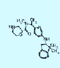 CN(C(=O)[C@H]1CNCCO1)C(c1ccc(N[C@H]2Cc3ccccc3C2(C)C)cn1)C(F)(F)F